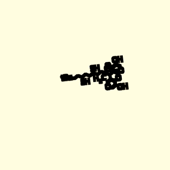 CC(C)(C)CCC(S)CCC(S)CCC(C)(C)C(c1cocc(O)c1=O)c1cocc(O)c1=O